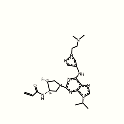 C=CC(=O)N[C@H]1CN(c2nc(Nc3cnn(CCN(C)C)c3)c3ncn(C(C)C)c3n2)C[C@H]1F